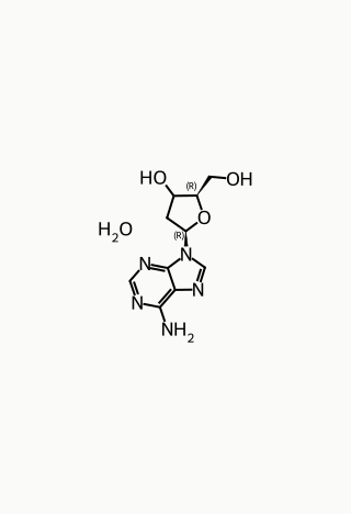 Nc1ncnc2c1ncn2[C@H]1CC(O)[C@@H](CO)O1.O